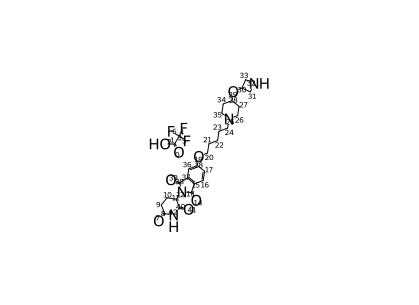 O=C(O)C(F)(F)F.O=C1CCC(N2C(=O)c3ccc(OCCCCCN4CCC(OC5CNC5)CC4)cc3C2=O)C(=O)N1